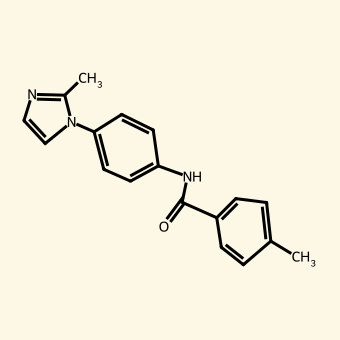 Cc1ccc(C(=O)Nc2ccc(-n3ccnc3C)cc2)cc1